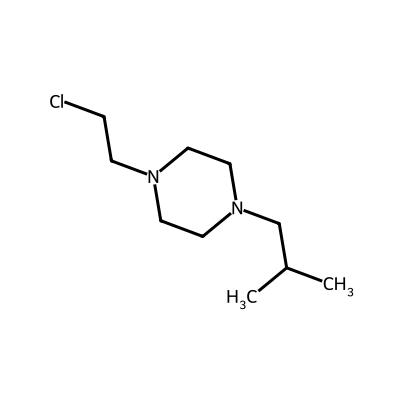 CC(C)CN1CCN(CCCl)CC1